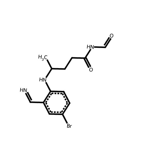 CC(CCC(=O)NC=O)Nc1ccc(Br)cc1C=N